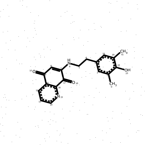 Cc1cc(CCNC2=CC(=O)c3cccnc3C2=O)cc(C)c1O